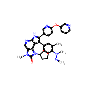 C=NN(C)c1ccc(-c2c(-c3ccc(Oc4cccnc4)nc3)[nH]c3ncc4c(c23)n(C2CCCC2)c(=O)n4C)cc1C